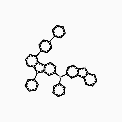 c1ccc(-c2ccc(-c3cccc4c3c3ccc(N(c5ccccc5)c5ccc6sc7ccccc7c6c5)cc3n4-c3ccccc3)cc2)cc1